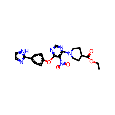 CCOC(=O)C1CCN(c2ncnc(Oc3ccc(-c4ncc[nH]4)cc3)c2[N+](=O)[O-])CC1